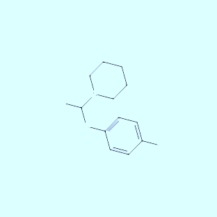 CC(Oc1ccc(Cl)cc1)N1CCCCC1